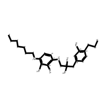 CCCCCCCOc1ccc(OCC(F)(F)Cc2ccc(CCC)c(F)c2)c(F)c1F